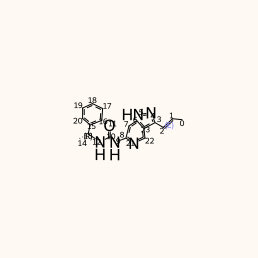 C/C=C/c1n[nH]c2cc(NC(=O)N[C@H](C)c3ccccc3)ncc12